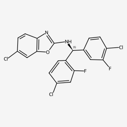 Fc1cc([C@H](Nc2nc3ccc(Cl)cc3o2)c2ccc(Cl)cc2F)ccc1Cl